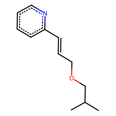 CC(C)COC/C=C/c1ccccn1